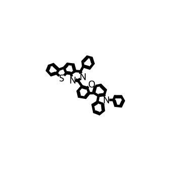 c1ccc(-c2nc(-c3cccc4c3oc3ccc5c(c6ccccc6n5-c5ccccc5)c34)nc3c2ccc2c4ccccc4sc23)cc1